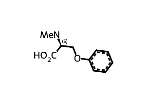 CN[C@@H](COc1ccccc1)C(=O)O